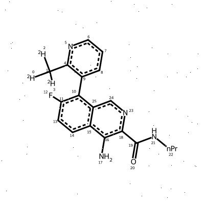 [2H]C([2H])([2H])c1ncccc1-c1c(F)ccc2c(N)c(C(=O)NCCC)ncc12